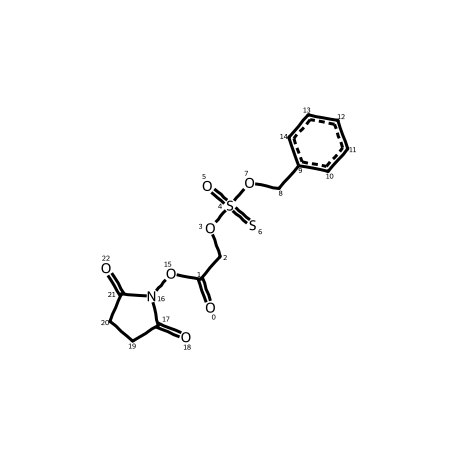 O=C(COS(=O)(=S)OCc1ccccc1)ON1C(=O)CCC1=O